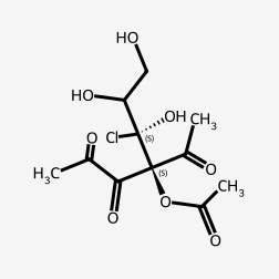 CC(=O)O[C@@](C(C)=O)(C(=O)C(C)=O)[C@@](O)(Cl)C(O)CO